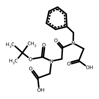 CC(C)(C)OC(=O)N(CC(=O)O)CC(=O)N(CC(=O)O)Cc1ccccc1